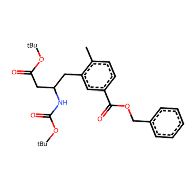 Cc1ccc(C(=O)OCc2ccccc2)cc1CC(CC(=O)OC(C)(C)C)NC(=O)OC(C)(C)C